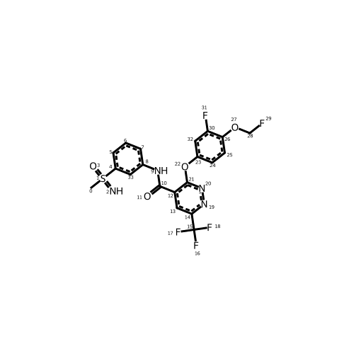 CS(=N)(=O)c1cccc(NC(=O)c2cc(C(F)(F)F)nnc2Oc2ccc(OCF)c(F)c2)c1